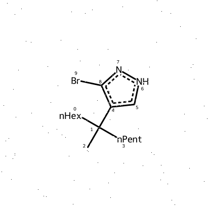 CCCCCCC(C)(CCCCC)c1c[nH]nc1Br